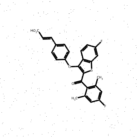 Cc1cc(F)cc(C)c1C(=O)c1sc2cc(F)ccc2c1Oc1ccc(/C=C/C(=O)O)cc1